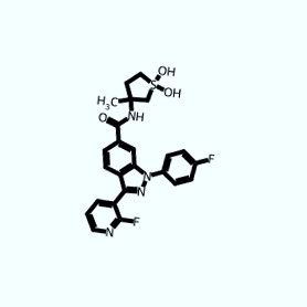 CC1(NC(=O)c2ccc3c(-c4cccnc4F)nn(-c4ccc(F)cc4)c3c2)CCS(O)(O)C1